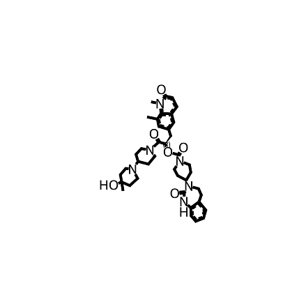 Cc1cc(C[C@@H](OC(=O)N2CCC(N3CCc4ccccc4NC3=O)CC2)C(=O)N2CCC(N3CCC(C)(O)CC3)CC2)cc2ccc(=O)n(C)c12